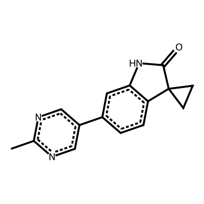 Cc1ncc(-c2ccc3c(c2)NC(=O)C32CC2)cn1